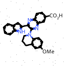 COc1ccc2c(c1)CCCN2c1nc2cc(C(=O)O)ccc2nc1-c1cc2ccccc2[nH]1